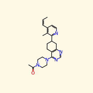 C/C=C\c1ccnc(C2CCc3c(ncnc3N3CCN(C(C)=O)CC3)C2)c1C